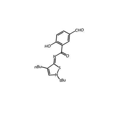 CCCCc1cn(C(C)(C)C)sc1=NC(=O)c1cc(C=O)ccc1O